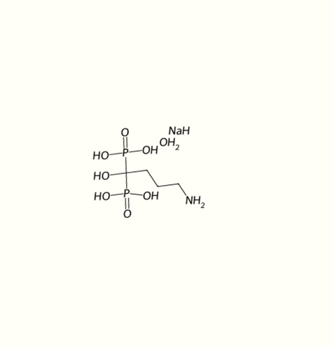 NCCCC(O)(P(=O)(O)O)P(=O)(O)O.O.[NaH]